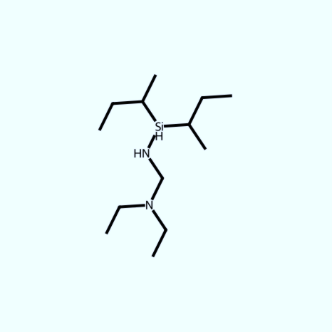 CCC(C)[SiH](NCN(CC)CC)C(C)CC